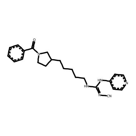 N#CN=C(NCCCCCC1CCN(C(=O)c2ccccc2)C1)Nc1ccncc1